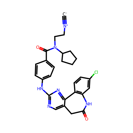 [C-]#[N+]CCN(C(=O)c1ccc(Nc2ncc3c(n2)-c2ccc(Cl)cc2NC(=O)C3)cc1)C1CCCC1